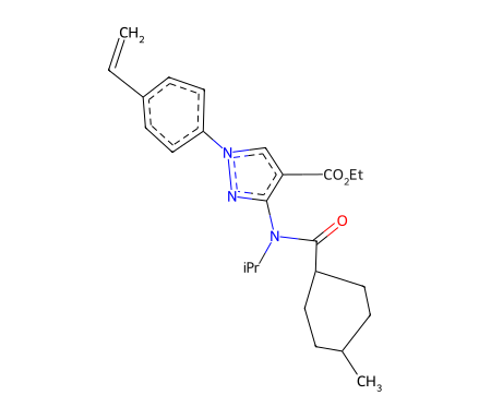 C=Cc1ccc(-n2cc(C(=O)OCC)c(N(C(=O)C3CCC(C)CC3)C(C)C)n2)cc1